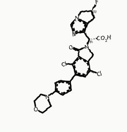 O=C(O)[C@@H](c1ncn2c1C[C@H](F)C2)N1Cc2c(Cl)cc(-c3ccc(N4CCOCC4)cc3)c(Cl)c2C1=O